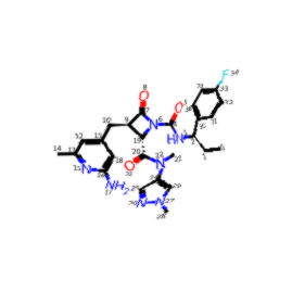 CC[C@@H](NC(=O)N1C(=O)[C@H](Cc2cc(C)nc(N)c2)[C@H]1C(=O)N(C)c1cnn(C)c1)c1ccc(F)cc1